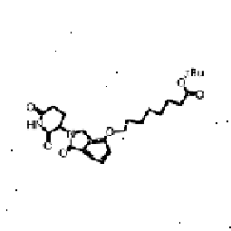 CC(C)(C)OC(=O)CCCCCCCOc1cccc2c1CN(C1CCC(=O)NC1=O)C2=O